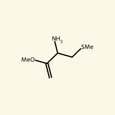 C=C(OC)C(N)CSC